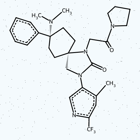 Cc1cc(C(F)(F)F)ncc1N1C[C@]2(CC[C@@](c3ccccc3)(N(C)C)CC2)N(CC(=O)N2CCCC2)C1=O